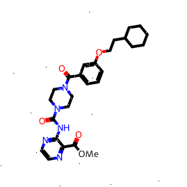 COC(=O)c1nccnc1NC(=O)N1CCN(C(=O)c2cccc(OCCC3CCCCC3)c2)CC1